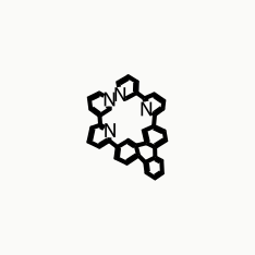 c1cncc(-c2cccc(-c3ccc4c5ccccc5c5ccc(-c6cccc(-c7cccnc7)n6)cc5c4c3)n2)c1